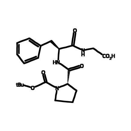 CC(C)(C)OC(=O)N1CCC[C@H]1C(=O)N[C@@H](Cc1ccccc1)C(=O)NCC(=O)O